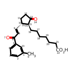 Cc1cccc(C(=O)C=C[C@@H]2CCC(=O)[C@H]2CCCCCCC(=O)O)c1